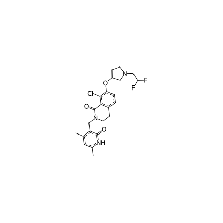 Cc1cc(C)c(CN2CCc3ccc(OC4CCN(CC(F)F)C4)c(Cl)c3C2=O)c(=O)[nH]1